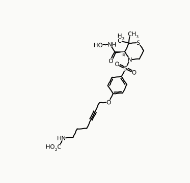 CC1(C)SCCN(S(=O)(=O)c2ccc(OCC#CCCCNC(=O)O)cc2)[C@H]1C(=O)NO